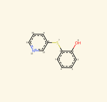 Oc1ccccc1Sc1cccnc1